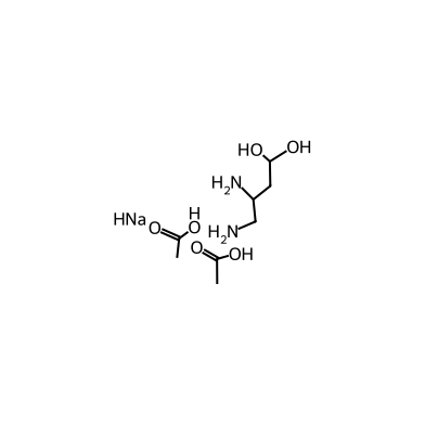 CC(=O)O.CC(=O)O.NCC(N)CC(O)O.[NaH]